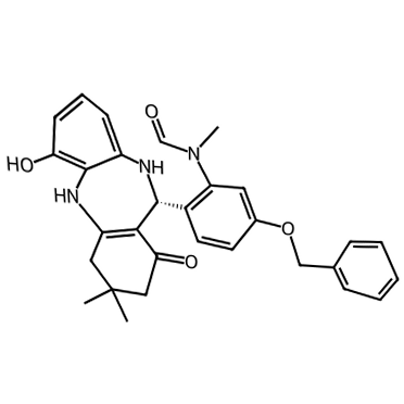 CN(C=O)c1cc(OCc2ccccc2)ccc1[C@H]1Nc2cccc(O)c2NC2=C1C(=O)CC(C)(C)C2